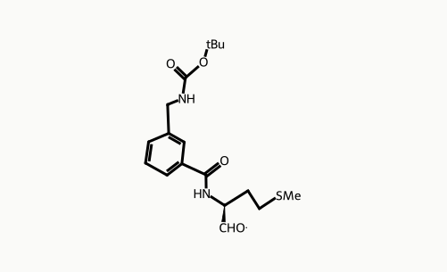 CSCC[C@@H]([C]=O)NC(=O)c1cccc(CNC(=O)OC(C)(C)C)c1